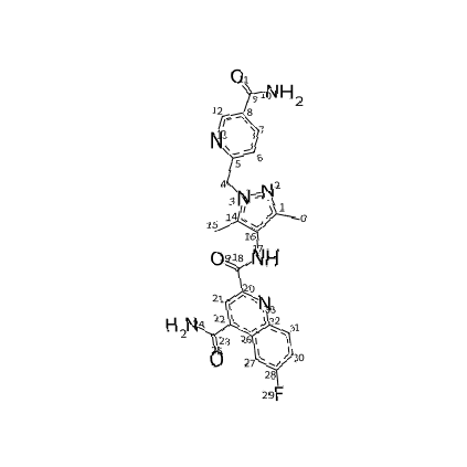 Cc1nn(Cc2ccc(C(N)=O)cn2)c(C)c1NC(=O)c1cc(C(N)=O)c2cc(F)ccc2n1